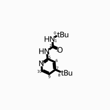 CC(C)(C)NC(=O)Nc1cc(C(C)(C)C)ccn1